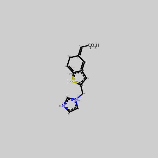 O=C(O)C=C1C=c2cc(Cn3ccnc3)sc2=CC1